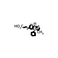 Cc1csc(Nc2ncc(SCCC(=O)O)cc2Sc2ccccc2)n1